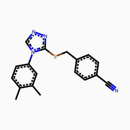 Cc1ccc(-n2cnnc2SCc2ccc(C#N)cc2)cc1C